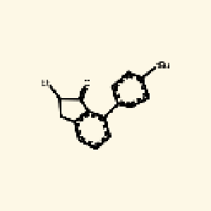 CCC1Cc2cccc(-c3ccc(C(C)(C)C)cc3)c2C1=O